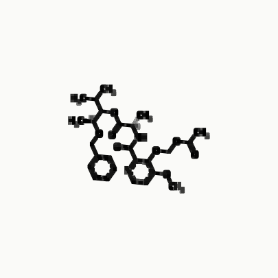 COc1ccnc(C(=O)N[C@@H](C)C(=O)OC(C(C)C)[C@H](C)OCc2ccccc2)c1OCOC(C)=O